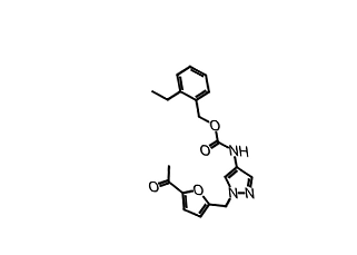 CCc1ccccc1COC(=O)Nc1cnn(Cc2ccc(C(C)=O)o2)c1